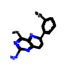 CCCc1nc(N)nc2ccc(-c3cccc([N+](=O)[O-])c3)nc12